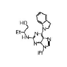 CCC(CO)Nc1nc(N2CCc3ccccc32)c2ncn(C(C)C)c2n1